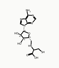 Nc1ncnc2c1ncn2[C@@H]1O[C@H](CNC(CS)C(=O)O)[C@@H](O)[C@H]1O